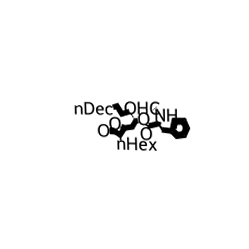 CCCCCCCCCCCCC[C@@H](CC1OC(=O)[C@H]1CCCCCC)OC(=O)[C@H](Cc1ccccc1)NC=O